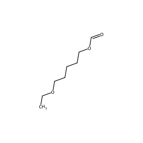 CCOCCCCCOC=O